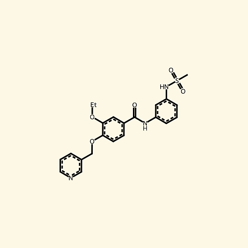 CCOc1cc(C(=O)Nc2cccc(NS(C)(=O)=O)c2)ccc1OCc1cccnc1